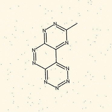 Cc1nnc2nnc3nnnnc3c2n1